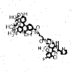 COC(=O)C1=C(CN2C=CN(C(=O)CCCNC(=O)c3ccc(-c4c5ccc(=N)c(S(=O)(=O)O)c-5oc5c(S(=O)(=O)O)c(N)ccc45)c(C(=O)O)c3)CC2)NC(c2ccccn2)=NC1c1ccc(F)cc1Cl